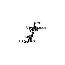 CCCCCCCCCCCCOc1cccc(-c2nc3c(-c4sc(C)cc4CCCCCC)cnc(-c4ccc(-c5ccc(-c6nc(NCCCCCCCC)c7nc(-c8ccc(-c9ccc(C)s9)s8)nc(NCCCCCCCC)c7n6)s5)s4)c3nc2-c2cccc(OCCCCCCCCCCCC)c2)c1